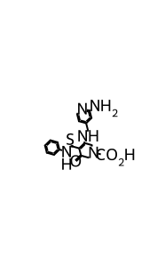 Nc1cc(CNC2=C(C(=S)Nc3ccccc3)C(=O)CN(C(=O)O)C2)ccn1